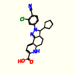 N#Cc1ccc(N2N=C3C4=CC=C(C(=O)O)NC4CCC3C2C2CCCC2)cc1Cl